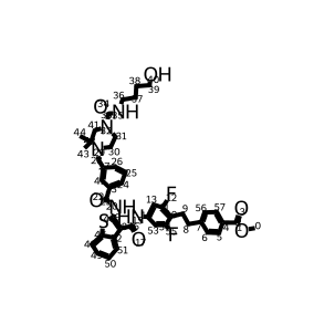 COC(=O)c1ccc(CCc2c(F)cc(NC(=O)c3c(NC(=O)c4cccc(CN5CCN(C(=O)NCCCCO)CC5(C)C)c4)sc4ccccc34)cc2F)cc1